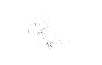 CCC[C@@H](C(=O)C(C)(C)[C@@H](C)CCO)[C@@H](O[Si](C)(C)C(C)(C)C)[C@@H](C)CCCC(C)=CC[C@H](O[Si](C)(C)C(C)(C)C)/C(C)=C/c1csc(C)n1